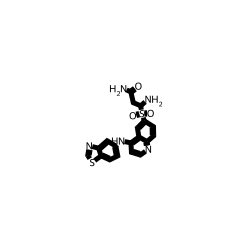 NC(=O)CC(N)S(=O)(=O)c1ccc2nccc(Nc3ccc4scnc4c3)c2c1